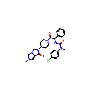 CN1C=C2C(=O)N(C3CCN(C(=O)C(NC(=O)N(C)c4ccc(Cl)cc4)c4ccccc4)CC3)CN2C1